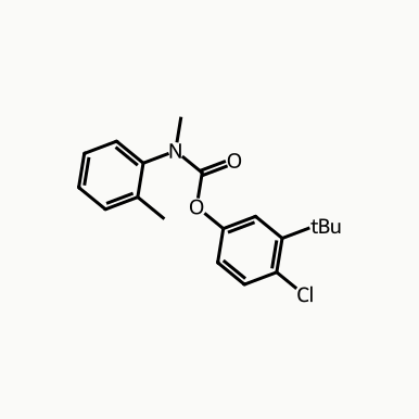 Cc1ccccc1N(C)C(=O)Oc1ccc(Cl)c(C(C)(C)C)c1